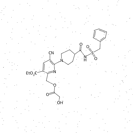 CCOC(=O)c1cc(C#N)c(N2CCC(C(=O)NS(=O)(=O)Cc3ccccc3)CC2)nc1COC(=O)CO